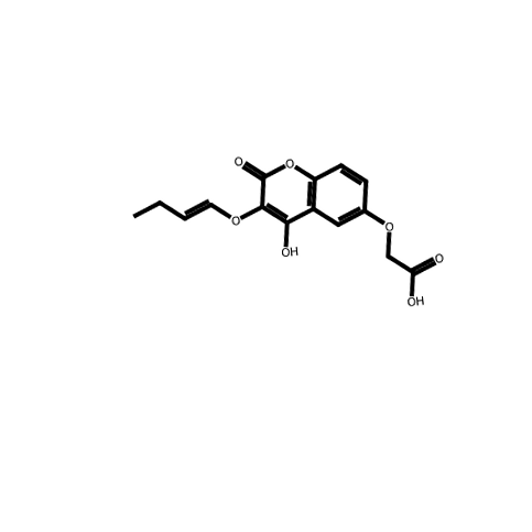 CC/C=C/Oc1c(O)c2cc(OCC(=O)O)ccc2oc1=O